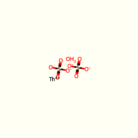 O.O=S(=O)([O-])[O-].O=S(=O)([O-])[O-].[Th+4]